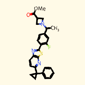 COC(=O)C1CN(C(C)c2ccc(-c3nc4ccc(C5(c6ccccc6)CC5)nc4s3)c(F)c2)C1